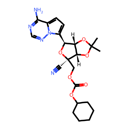 CC1(C)O[C@H]2[C@H](c3ccc4c(N)ncnn34)O[C@](C#N)(COC(=O)OC3CCCCC3)[C@H]2O1